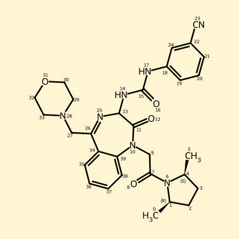 C[C@@H]1CC[C@H](C)N1C(=O)CN1C(=O)C(NC(=O)Nc2cccc(C#N)c2)N=C(CN2CCOCC2)c2ccccc21